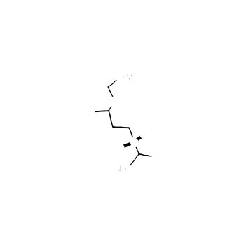 CCCCC(C(F)(F)F)S(=O)(=O)CCC(OCOC)C(F)(F)F